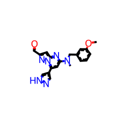 COc1cccc(CN(C)c2cc(-c3cn[nH]c3)n3nc(C=O)cc3n2)c1